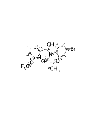 C[C@H]1Oc2cc(Br)ccc2N([C@@H](C)c2cccc(OC(F)(F)F)n2)C1=O